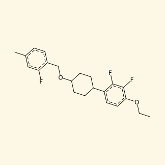 CCOc1ccc(C2CCC(OCc3ccc(C)cc3F)CC2)c(F)c1F